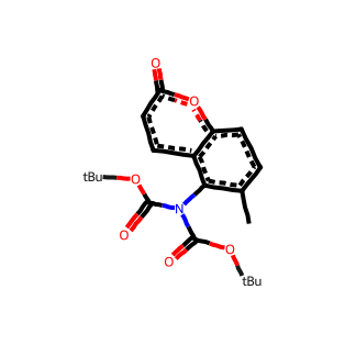 Cc1ccc2oc(=O)ccc2c1N(C(=O)OC(C)(C)C)C(=O)OC(C)(C)C